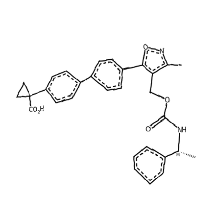 Cc1noc(-c2ccc(-c3ccc(C4(C(=O)O)CC4)cc3)cc2)c1COC(=O)N[C@H](C)c1ccccc1